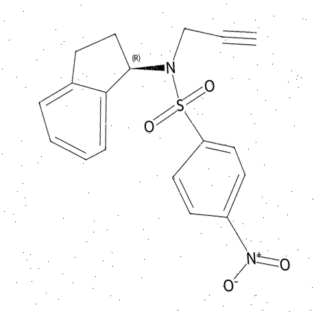 C#CCN([C@@H]1CCc2ccccc21)S(=O)(=O)c1ccc([N+](=O)[O-])cc1